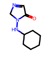 O=C1C=NCN1NC1CCCCC1